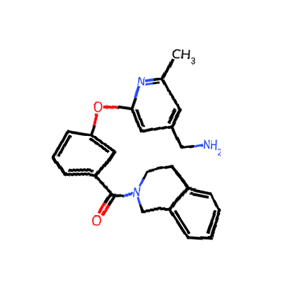 Cc1cc(CN)cc(Oc2cccc(C(=O)N3CCc4ccccc4C3)c2)n1